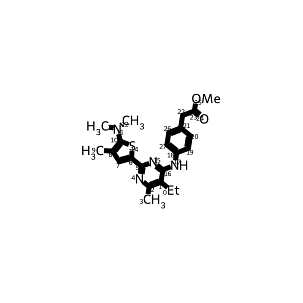 CCc1c(C)nc(-c2cc(C)c(N(C)C)s2)nc1Nc1ccc(CC(=O)OC)cc1